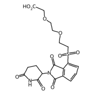 O=C(O)COCCOCCS(=O)(=O)c1cccc2c1C(=O)N(C1CCC(=O)NC1=O)C2=O